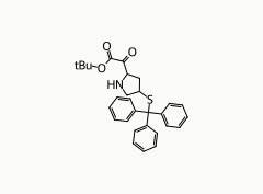 CC(C)(C)OC(=O)C(=O)C1CC(SC(c2ccccc2)(c2ccccc2)c2ccccc2)CN1